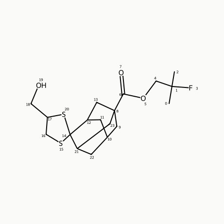 CC(C)(F)COC(=O)C12CC3CC(C1)C1(SCC(CO)S1)C(C3)C2